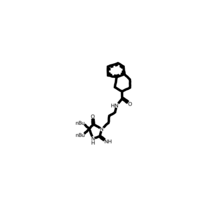 CCCCC1(CCCC)NC(=N)N(CCCNC(=O)C2CCc3ccccc3C2)C1=O